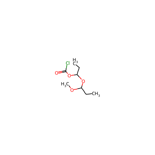 CCC(OC)OC(CC)OC(=O)Cl